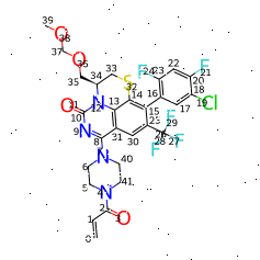 C=CC(=O)N1CCN(c2nc(=O)n3c4c(c(-c5cc(Cl)c(F)cc5F)c(C(F)(F)F)cc24)SC[C@@H]3COCOC)CC1